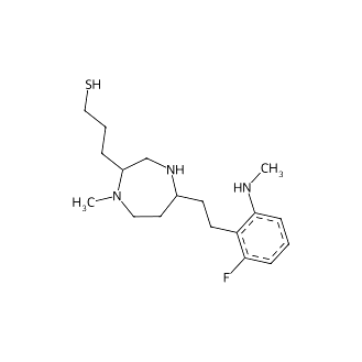 CNc1cccc(F)c1CCC1CCN(C)C(CCCS)CN1